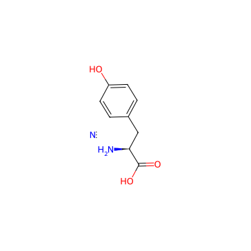 N[C@@H](Cc1ccc(O)cc1)C(=O)O.[N]